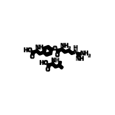 CC(C)C[C@H](N)C(=O)O.N=C(N)NCCC[C@H](N)C(=O)Oc1ccc(C[C@H](N)C(=O)O)cc1